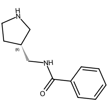 O=C(NC[C@@H]1CCNC1)c1ccccc1